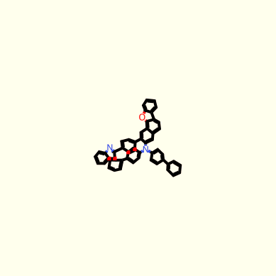 c1ccc(-c2ccc(N(c3ccc(-c4ccccc4)cc3)c3cc4ccc5c6ccccc6oc5c4cc3-c3ccc(C4=Nc5ccccc5C4)cc3)cc2)cc1